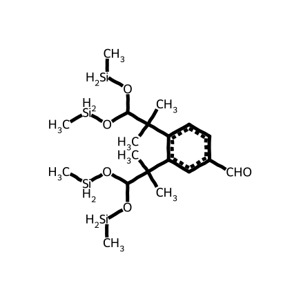 C[SiH2]OC(O[SiH2]C)C(C)(C)c1ccc(C=O)cc1C(C)(C)C(O[SiH2]C)O[SiH2]C